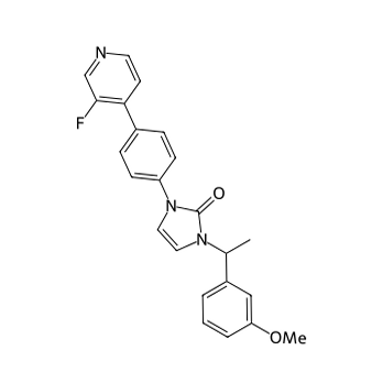 COc1cccc(C(C)n2ccn(-c3ccc(-c4ccncc4F)cc3)c2=O)c1